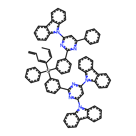 C=C/C=C(\C=C/C)[Si](c1ccccc1)(c1cccc(-c2nc(-c3ccccc3)cc(-n3c4ccccc4c4ccccc43)n2)c1)c1cccc(-c2nc(-n3c4ccccc4c4ccccc43)cc(-n3c4ccccc4c4ccccc43)n2)c1